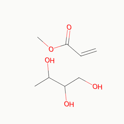 C=CC(=O)OC.CC(O)C(O)CO